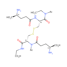 CC(=O)N(CC(=O)O)C(=O)[C@H](CSSC[C@@H](C(=O)NCC(=O)O)N(C(C)=O)C(=O)CC[C@H](N)C(=O)O)NC(=O)CC[C@H](N)C(=O)O